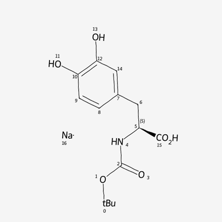 CC(C)(C)OC(=O)N[C@@H](Cc1ccc(O)c(O)c1)C(=O)O.[Na]